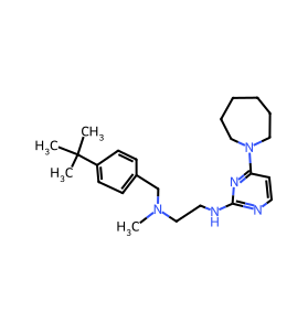 CN(CCNc1nccc(N2CCCCCC2)n1)Cc1ccc(C(C)(C)C)cc1